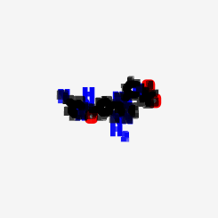 CC1(C(=O)N2CCCC(c3nc(-c4ccc(C(=O)Nc5cc(C#N)ccn5)cc4)c4c(N)nccn34)C2)COC1